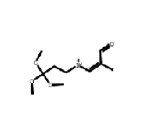 COC(CC[SiH2]C=C(C)C=O)(OC)OC